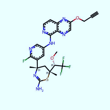 C#CCOc1cnc2c(Nc3cnc(F)c([C@]4(C)C[C@](C)([C@H](OC)C(F)(F)F)SC(N)=N4)c3)nccc2n1